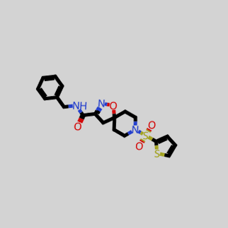 O=C(NCc1ccccc1)C1=NOC2(CCN(S(=O)(=O)c3cccs3)CC2)C1